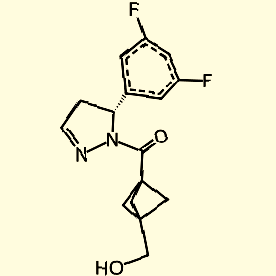 O=C(N1N=CC[C@@H]1c1cc(F)cc(F)c1)C12CC(CO)(C1)C2